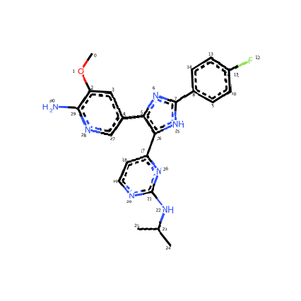 COc1cc(-c2nc(-c3ccc(F)cc3)[nH]c2-c2ccnc(NC(C)C)n2)cnc1N